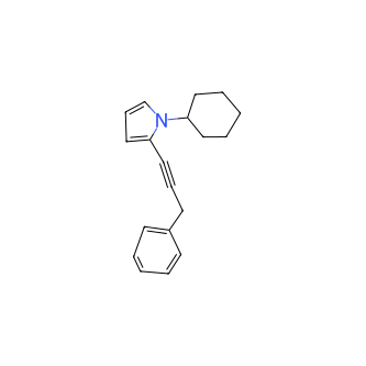 C(#Cc1cccn1C1CCCCC1)Cc1ccccc1